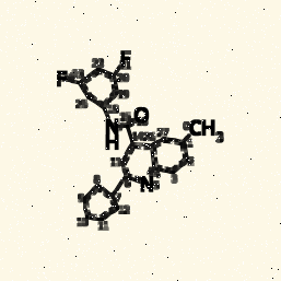 Cc1ccc2nc(-c3ccccc3)cc(C(=O)Nc3cc(F)cc(F)c3)c2c1